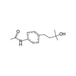 CC(=O)Nc1ccc(CCC(C)(C)O)cc1